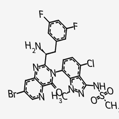 Cn1nc(NS(C)(=O)=O)c2c(Cl)ccc(-n3c([C@@H](N)Cc4cc(F)cc(F)c4)nc4cc(Br)cnc4c3=O)c21